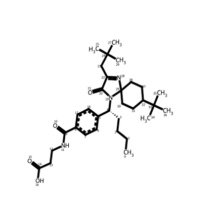 CCCC[C@H](c1ccc(C(=O)NCCC(=O)O)cc1)N1C(=O)C(CC(C)(C)C)=NC12CCC(C(C)(C)C)CC2